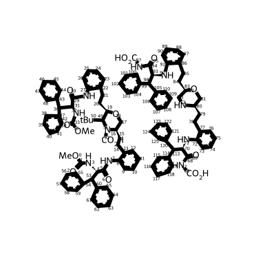 COC(=O)N[C@H](C(=O)Nc1ccccc1CC[C@@H]1CO[C@H](CCc2ccccc2NC(=O)[C@@H](NC(=O)OC)C(c2ccccc2)c2ccccc2)C(C(C)(C)C)N1C(=O)O)C(c1ccccc1)c1ccccc1.O=C(O)NC(=O)[C@@H](Nc1ccccc1CC[C@@H]1CO[C@H](CCc2ccccc2N[C@H](C(=O)NC(=O)O)C(c2ccccc2)c2ccccc2)CN1)C(c1ccccc1)c1ccccc1